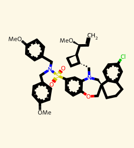 C=C[C@H](OC)[C@@H]1CC[C@H]1CN1C[C@@]2(CCCc3cc(Cl)ccc32)COc2ccc(S(=O)(=O)N(Cc3ccc(OC)cc3)Cc3ccc(OC)cc3)cc21